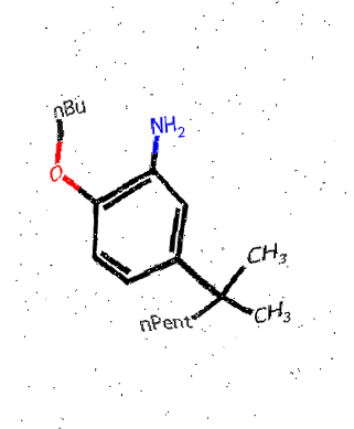 CCCCCC(C)(C)c1ccc(OCCCC)c(N)c1